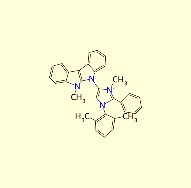 Cc1cccc(C)c1-n1cc(-n2c3ccccc3c3c4ccccc4n(C)c32)[n+](C)c1-c1ccccc1